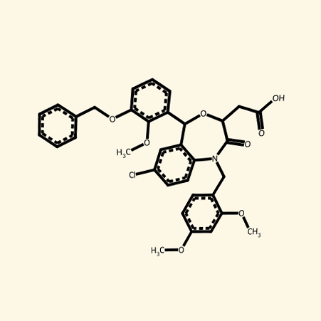 COc1ccc(CN2C(=O)C(CC(=O)O)OC(c3cccc(OCc4ccccc4)c3OC)c3cc(Cl)ccc32)c(OC)c1